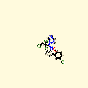 CC(=O)N(Oc1ccc(Cl)cc1C)C(n1cncn1)C(Cl)(Cl)CCl